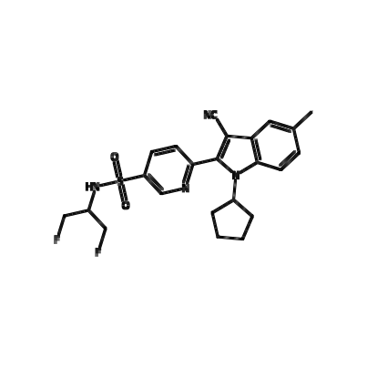 Cc1ccc2c(c1)c(C#N)c(-c1ccc(S(=O)(=O)NC(CF)CF)cn1)n2C1CCCC1